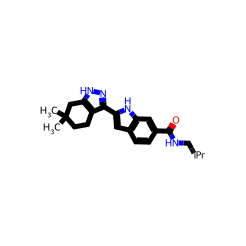 CC(C)CNC(=O)c1ccc2cc(-c3n[nH]c4c3CCC(C)(C)C4)[nH]c2c1